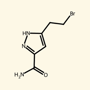 NC(=O)c1cc(CCBr)[nH]n1